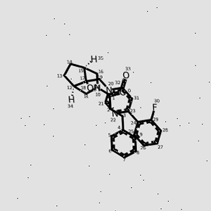 O=C(CCc1ccccc1)N1C[C@H]2CC[C@@H](C1)C2(O)Cn1cnc(-c2ccccc2F)cc1=O